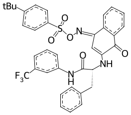 CC(C)(C)c1ccc(S(=O)(=O)ON=C2C=C(N[C@H](Cc3ccccc3)C(=O)Nc3cccc(C(F)(F)F)c3)C(=O)c3ccccc32)cc1